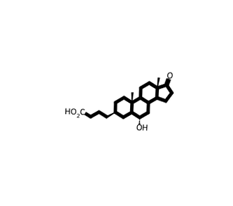 C[C@]12CC[C@H](CCCC(=O)O)CC1[C@@H](O)CC1C2CC[C@]2(C)C(=O)CCC12